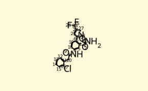 NS(=O)(=O)c1cc(NC(=O)Cc2ccccc2Cl)ccc1C1C=C(C(F)F)C=N1